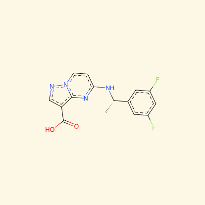 C[C@H](Nc1ccn2ncc(C(=O)O)c2n1)c1cc(F)cc(F)c1